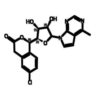 Cc1ncnc2c1ccn2C1O[C@H]([C@@H]2OC(=O)Cc3cc(Cl)ccc32)[C@@H](O)[C@H]1O